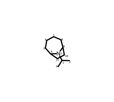 CC(C)N1C2CCCCC1CC2